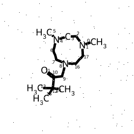 CN1CCN(C)CCN(CC(=O)C(C)(C)C)CC1